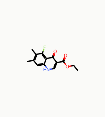 CCOC(=O)c1c[nH]c2cc(C)c(C)c(F)c2c1=O